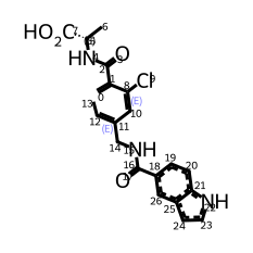 C=C(C(=O)N[C@@H](C)C(=O)O)/C(Cl)=C\C(=C/C)CNC(=O)c1ccc2[nH]ccc2c1